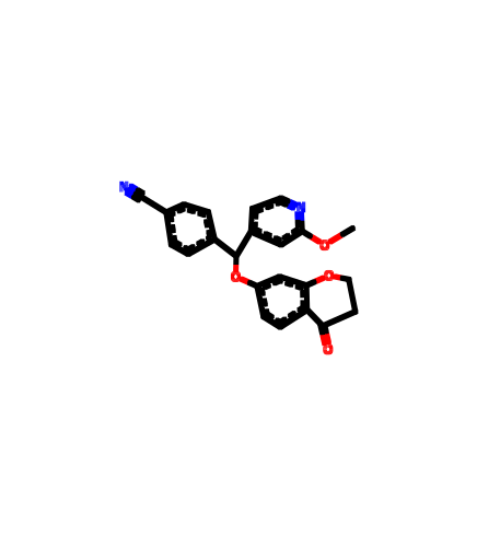 COc1cc(C(Oc2ccc3c(c2)OCCC3=O)c2ccc(C#N)cc2)ccn1